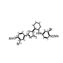 COc1ccc(NC2CCCC/C2=C2\SC(c3ccc(OC)c(Br)c3)=NN2C)cc1Br